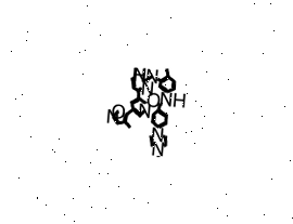 Cc1ccc(NC(=O)c2ccc(N3CCN(C)CC3)cc2)cc1Nc1nccc(-c2cncc(-c3oncc3C)c2)n1